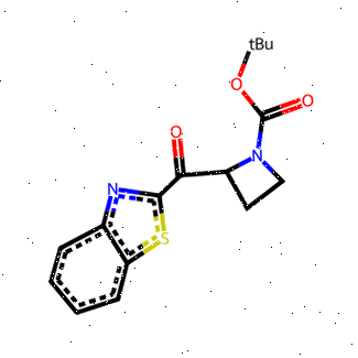 CC(C)(C)OC(=O)N1CCC1C(=O)c1nc2ccccc2s1